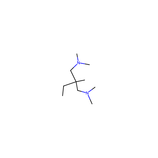 CCC(C)(CN(C)C)CN(C)C